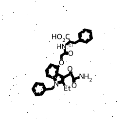 CCc1c(C(=O)C(N)=O)c2c(OCC(=O)N[C@@H](Cc3ccccc3)C(=O)O)cccc2n1Cc1ccccc1